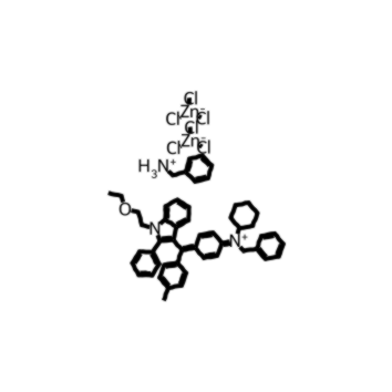 CCOCCn1c(-c2ccccc2)c(C(=C2C=CC(=[N+](Cc3ccccc3)C3CCCCC3)C=C2)c2ccc(C)cc2)c2ccccc21.[Cl][Zn-]([Cl])[Cl].[Cl][Zn-]([Cl])[Cl].[NH3+]Cc1ccccc1